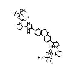 CC(C)(C)OC(=O)N1CCC[C@H]1c1ncc(-c2ccc3c(c2)COc2cc(-c4cnc([C@@H]5CCCN5C(=O)OC(C)(C)C)[nH]4)ccc2-3)[nH]1